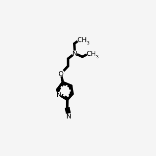 CCN(CC)CCOc1ccc(C#N)nc1